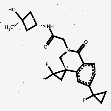 C[C@]1(O)C[C@H](NC(=O)CN2C[C@]3(CC3(F)F)c3cc(C4(F)CC4)ccc3C2=O)C1